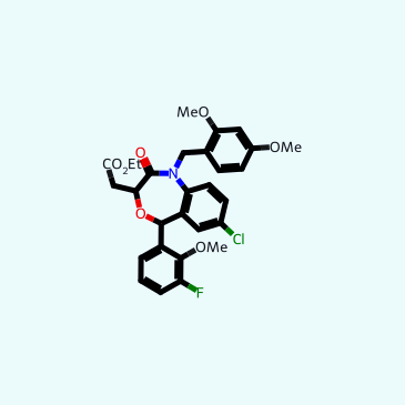 CCOC(=O)CC1OC(c2cccc(F)c2OC)c2cc(Cl)ccc2N(Cc2ccc(OC)cc2OC)C1=O